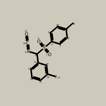 Cc1ccc(S(=O)(=O)C(N=C=O)c2cccc(I)c2)cc1